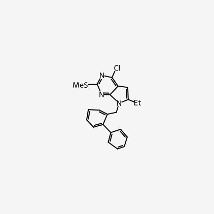 CCc1cc2c(Cl)nc(SC)nc2n1Cc1ccccc1-c1ccccc1